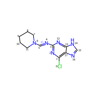 Clc1nc(/N=C/N2CCCCC2)nc2[nH]cnc12